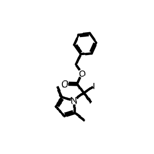 Cc1ccc(C)n1C(C)(I)C(=O)OCc1ccccc1